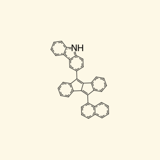 c1ccc2c(c1)C1=C(c3cccc4ccccc34)c3ccccc3C1=C2c1ccc2[nH]c3ccccc3c2c1